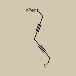 CCCCCCC#CCC#CCCl